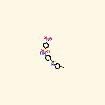 Cc1ccc2nc(-c3ccc(NS(=O)(=O)c4ccc([N+](=O)[O-])cc4)cc3)sc2c1